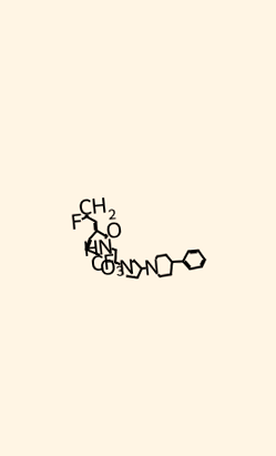 C=C(F)/C=C(\C=C/CC(F)(F)F)C(=O)NCC(=O)N1CCC(N2CCC(c3ccccc3)CC2)C1